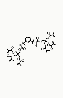 C=C(C)C(=O)OCC(COC(=O)NC(C)(C)c1cccc(C(C)(C)NC(=O)OCC(COC(=O)C(=C)C)(COC(=O)C(=C)C)COC(=O)C(=C)C)c1)(COC(=O)C(=C)C)COC(=O)C(=C)C